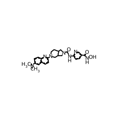 CN(C)c1ccc2nc(N3CCC4CN(C(=O)Nc5ccc(C(=O)NO)cn5)CC4C3)ccc2c1